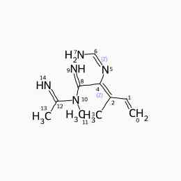 C=C/C(C)=C(\N=C/N)C(=N)N(C)C(C)=N